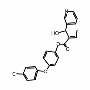 CC=C(C(=O)Oc1ccc(Oc2ccc(Cl)cc2)cc1)C(O)c1cccnc1